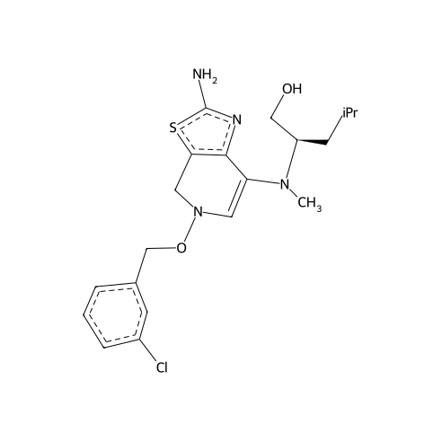 CC(C)C[C@H](CO)N(C)C1=CN(OCc2cccc(Cl)c2)Cc2sc(N)nc21